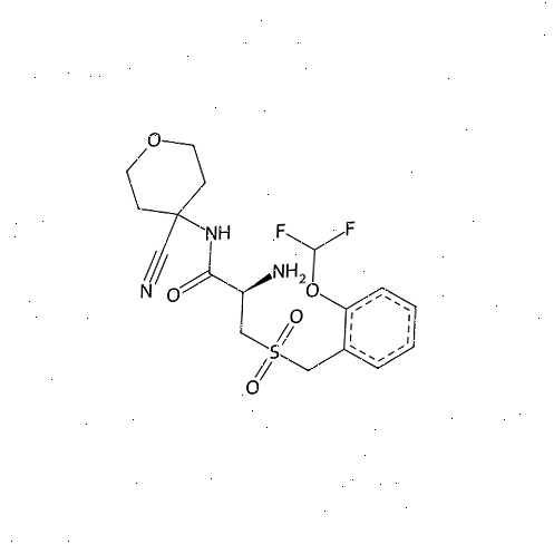 N#CC1(NC(=O)[C@@H](N)CS(=O)(=O)Cc2ccccc2OC(F)F)CCOCC1